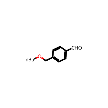 CCCCOCc1ccc(C=O)cc1